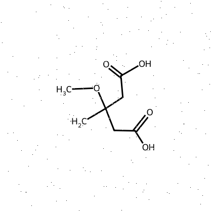 [CH2]C(CC(=O)O)(CC(=O)O)OC